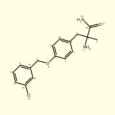 CC(N)(Cc1ccc(OCc2cccc(Cl)c2)cc1)C(N)=O